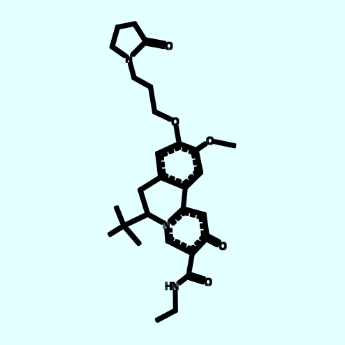 CCNC(=O)c1cn2c(cc1=O)-c1cc(OC)c(OCCCN3CCCC3=O)cc1CC2C(C)(C)C